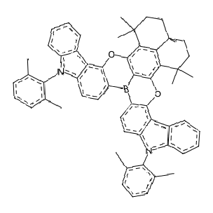 Cc1cccc(C)c1-n1c2ccccc2c2c3c(ccc21)B1c2ccc4c(c2Oc2c1c(c1c5c2C(C)(C)CCC5(C)CCC1(C)C)O3)c1ccccc1n4-c1c(C)cccc1C